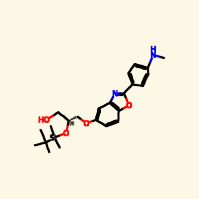 CNc1ccc(-c2nc3cc(OC[C@@H](CO)O[Si](C)(C)C(C)(C)C)ccc3o2)cc1